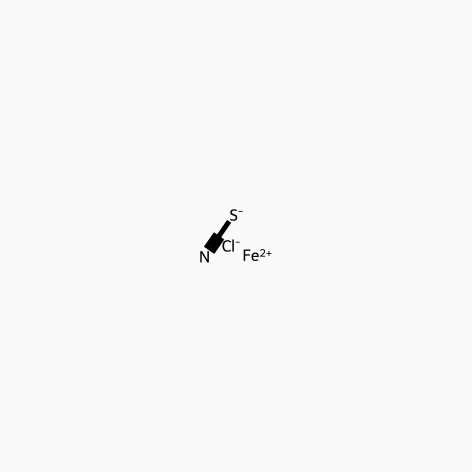 N#C[S-].[Cl-].[Fe+2]